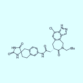 CC(C)(C)CN1Cc2c(cc(Cl)c3[nH]ncc23)C[C@@H](CC(=O)Nc2ccc3c(c2)CCC2(C3)NC(=O)NC2=O)C1=O